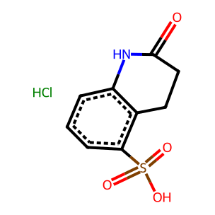 Cl.O=C1CCc2c(cccc2S(=O)(=O)O)N1